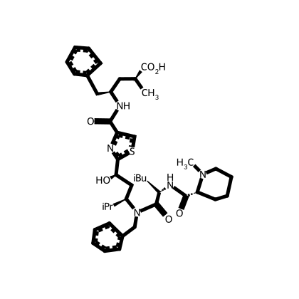 CC[C@H](C)[C@H](NC(=O)[C@H]1CCCCN1C)C(=O)N(Cc1ccccc1)[C@H](C[C@@H](O)c1nc(C(=O)N[C@@H](Cc2ccccc2)C[C@H](C)C(=O)O)cs1)C(C)C